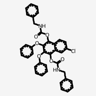 O=C(NCc1ccccc1)Oc1c(Oc2ccccc2)c(Oc2ccccc2)c(OC(=O)NCc2ccccc2)c2cc(Cl)ccc12